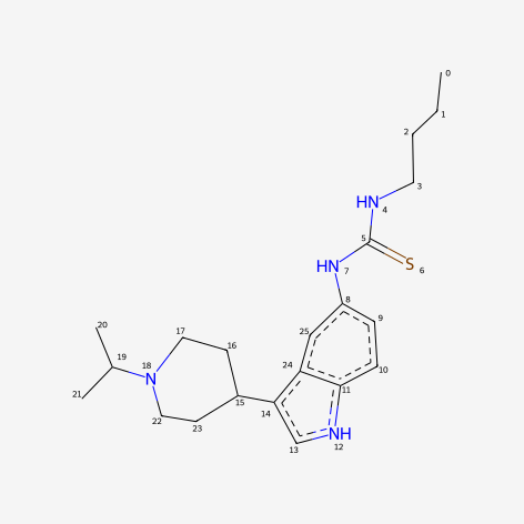 CCCCNC(=S)Nc1ccc2[nH]cc(C3CCN(C(C)C)CC3)c2c1